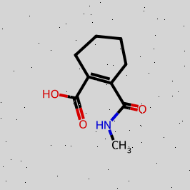 CNC(=O)C1=C(C(=O)O)CCCC1